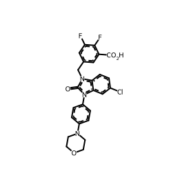 O=C(O)c1cc(Cn2c(=O)n(-c3ccc(N4CCOCC4)cc3)c3cc(Cl)ccc32)cc(F)c1F